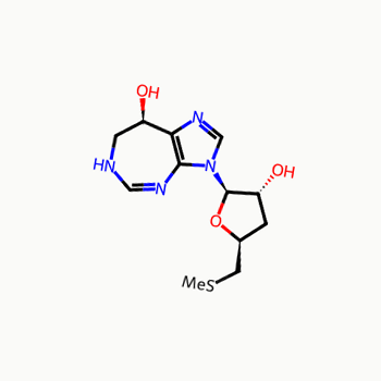 CSC[C@@H]1C[C@@H](O)[C@H](n2cnc3c2N=CNC[C@H]3O)O1